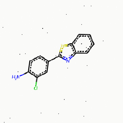 Nc1ccc(-c2nc3ccccc3s2)cc1Cl